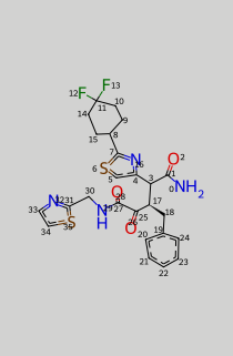 NC(=O)C(c1csc(C2CCC(F)(F)CC2)n1)[C@@H](Cc1ccccc1)C(=O)C(=O)NCc1nccs1